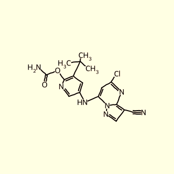 CC(C)(C)c1cc(Nc2cc(Cl)nc3c(C#N)cnn23)cnc1OC(N)=O